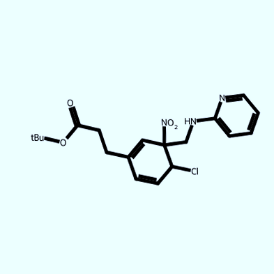 CC(C)(C)OC(=O)CCC1=CC(CNc2ccccn2)([N+](=O)[O-])C(Cl)C=C1